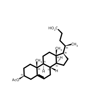 CC(=O)O[C@H]1CC[C@@]2(C)C(=CC[C@H]3[C@@H]4CC[C@H]([C@H](C)CCC(=O)O)[C@@]4(C)CC[C@@H]32)C1